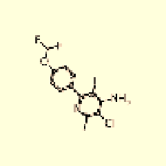 Cc1nc(-c2ccc(OC(F)F)cc2)c(F)c(N)c1Cl